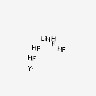 F.F.F.F.[LiH].[Y]